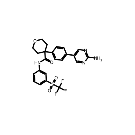 Nc1ncc(-c2ccc(C3(C(=O)Nc4cccc(S(=O)(=O)C(F)(F)F)c4)CCOCC3)cc2)cn1